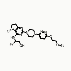 CCOCCOc1ccc(N2CCN(c3nc4c(c(NC(CO)C(C)C)n3)[S+]([O-])CC4)CC2)nn1